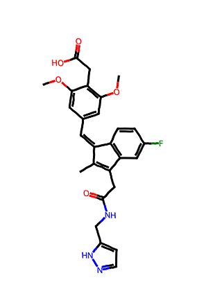 COc1cc(/C=C2/C(C)=C(CC(=O)NCc3ccn[nH]3)c3cc(F)ccc32)cc(OC)c1CC(=O)O